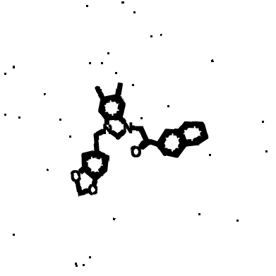 Cc1cc2c(cc1C)N(Cc1ccc3c(c1)OCO3)CN2CC(=O)c1ccc2ccccc2c1